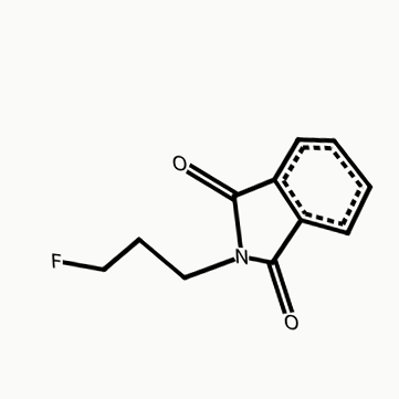 O=C1c2ccccc2C(=O)N1CCCF